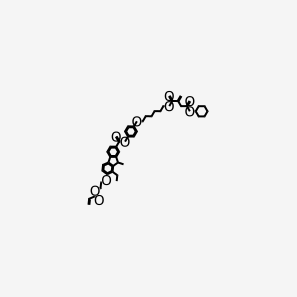 C=CC(=O)OCCOc1ccc2c(c1CC)C(C)c1cc(C(=O)Oc3ccc(OCCCCCCOC(=O)C(=C)CC(=O)OC4CCCCC4)cc3)ccc1-2